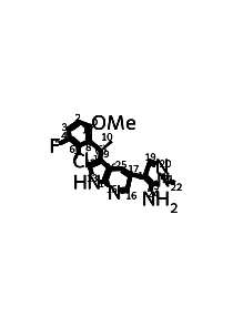 COc1ccc(F)c(Cl)c1[C@@H](C)c1c[nH]c2ncc(-c3cnn(C)c3N)cc12